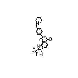 O=c1cc(-c2ccc(CN3CCCCC3)cc2)oc2c1ccc1[nH]c(C(F)(F)F)nc12